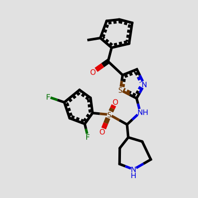 Cc1ccccc1C(=O)c1cnc(NC(C2CCNCC2)S(=O)(=O)c2ccc(F)cc2F)s1